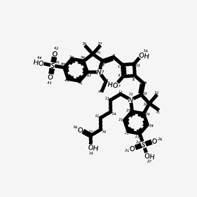 CCN1C(=CC2=C(O)C(C=C3N(CCCCCC(=O)O)c4ccc(S(=O)(=O)O)cc4C3(C)C)C2O)C(C)(C)c2cc(S(=O)(=O)O)ccc21